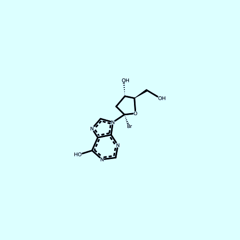 OC[C@H]1O[C@@](Br)(n2cnc3c(O)ncnc32)C[C@@H]1O